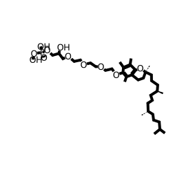 Cc1c(C)c2c(c(C)c1OCCOCCOCCOCC(O)COP(=O)(O)OO)CC[C@](C)(CCC[C@@H](C)CCC[C@@H](C)CCCC(C)C)O2